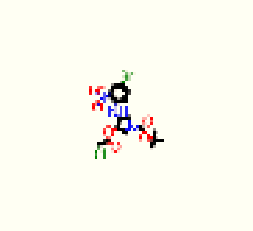 CC(C)(C)OC(=O)N1CC(Nc2ccc(Br)cc2[N+](=O)[O-])C(OC(=O)CCl)C1